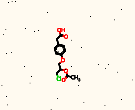 CC(=O)OC(CCl)COc1ccc(CC(=O)O)cc1